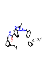 Cc1nc2cc(C(=O)N[C@@H](C)c3cccc(C4CC4)c3)ccc2n1Cc1ccc(-c2ccccc2C(=O)O)cc1